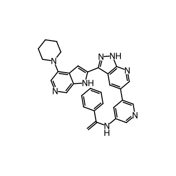 C=C(Nc1cncc(-c2cnc3[nH]nc(-c4cc5c(N6CCCCC6)cncc5[nH]4)c3c2)c1)c1ccccc1